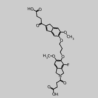 COc1cc2c(cc1OCCCOc1c(OC)cc3c(c1F)CN(C(=O)CCC(=O)O)C3)C=C(C(=O)CCC(=O)O)C2